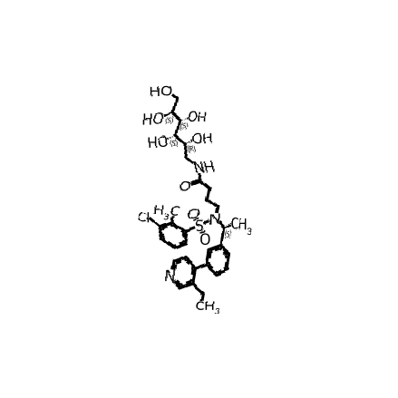 CCc1cnccc1-c1cccc([C@H](C)N(CCCC(=O)NC[C@@H](O)[C@H](O)[C@@H](O)[C@@H](O)CO)S(=O)(=O)c2cccc(Cl)c2C)c1